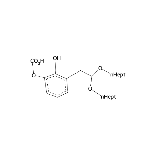 CCCCCCCOC(Cc1cccc(OC(=O)O)c1O)OCCCCCCC